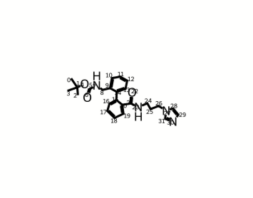 CC(C)(C)OC(=O)NCc1ccccc1-c1ccccc1C(=O)NCCCn1ccnc1